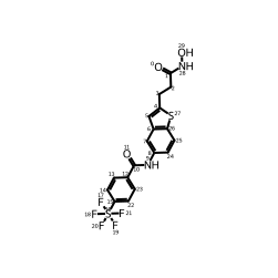 O=C(CCc1cc2cc(NC(=O)c3ccc(S(F)(F)(F)(F)F)cc3)ccc2s1)NO